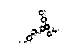 C=CC(=O)N1CCC[C@H]1c1ccc(N2CCC([C@H]3CCCS3(=O)=O)CC2)c2cnc(Nc3ccnc(N4CC[C@@H](OC)[C@@H](F)C4)n3)cc12